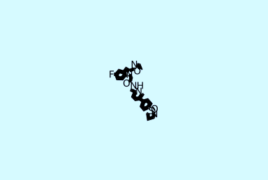 O=C(Cn1c(-c2ncco2)cc2cc(F)ccc21)NCc1ccc(-c2ccc(S3(=O)=NCCC3)cc2)cn1